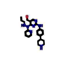 C=CCNN(c1ccccn1)c1nc(Nc2ccc(C3CCNCC3)cc2)ncc1C=O